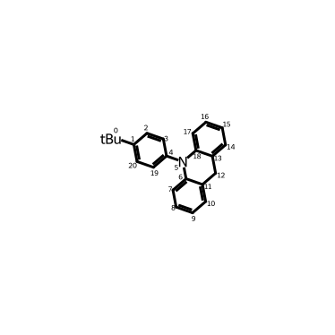 CC(C)(C)c1ccc(N2c3ccccc3Cc3ccccc32)cc1